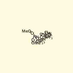 COc1ccc(CN(Cc2ccc(OC)cc2)c2cc(C)c(C(F)(F)F)c(-c3cc4c5c(c3Cl)=NCNC=5N(C(C)(C)c3cccnc3Cl)C=CO4)n2)cc1